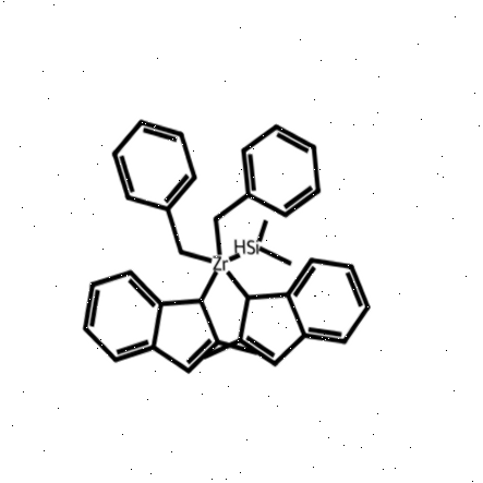 CC1=Cc2ccccc2[CH]1[Zr]([CH2]c1ccccc1)([CH2]c1ccccc1)([CH]1C(C)=Cc2ccccc21)[SiH](C)C